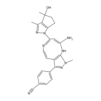 Cc1nn(-c2cc(N)[nH]c3c(ccn2)c(-c2ccc(C#N)cc2)nn3C)c2c1C(C)(O)CC2